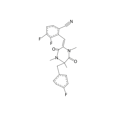 CN1C(=O)C(C)(Cc2ccc(F)cc2)N(C)C(=O)C1=Cc1c(C#N)ccc(F)c1F